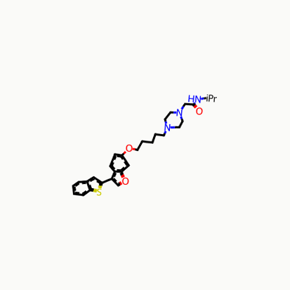 CC(C)NC(=O)CN1CCN(CCCCCOc2ccc3c(-c4cc5ccccc5s4)coc3c2)CC1